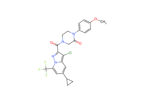 COc1ccc(N2CCN(C(=O)c3nn4c(C(F)(F)F)cc(C5CC5)cc4c3Cl)CC2=O)cc1